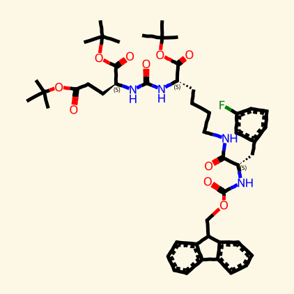 CC(C)(C)OC(=O)CC[C@H](NC(=O)N[C@@H](CCCCNC(=O)[C@H](Cc1cccc(F)c1)NC(=O)OCC1c2ccccc2-c2ccccc21)C(=O)OC(C)(C)C)C(=O)OC(C)(C)C